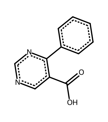 O=C(O)c1cncnc1-c1ccccc1